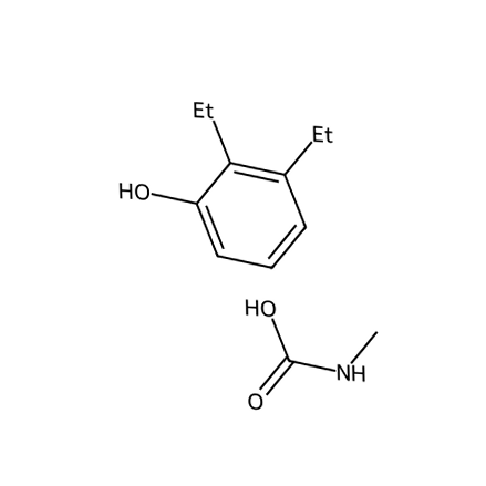 CCc1cccc(O)c1CC.CNC(=O)O